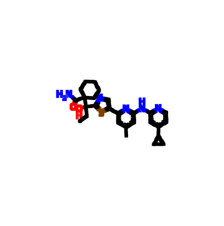 CCC(O)(c1ncc(-c2cc(C)cc(Nc3cc(C4CC4)ccn3)n2)s1)C1(C(N)=O)CCCCC1